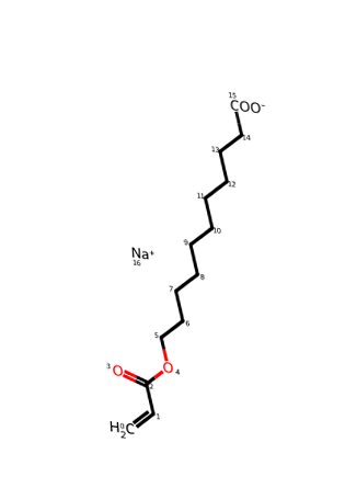 C=CC(=O)OCCCCCCCCCCC(=O)[O-].[Na+]